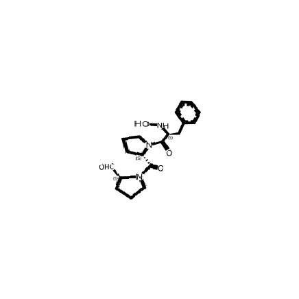 O=C[C@@H]1CCCN1C(=O)[C@@H]1CCCN1C(=O)[C@H](Cc1ccccc1)NO